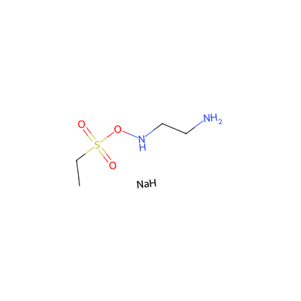 CCS(=O)(=O)ONCCN.[NaH]